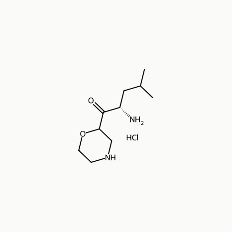 CC(C)C[C@H](N)C(=O)C1CNCCO1.Cl